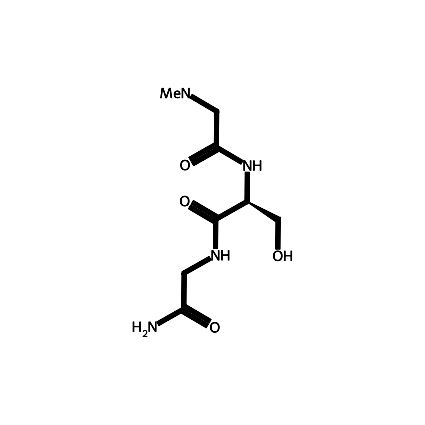 CNCC(=O)N[C@@H](CO)C(=O)NCC(N)=O